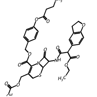 CCCC(=O)Oc1ccc(COC(=O)C2=C(COC(C)=O)CSC3C(NC(=O)C(C(=O)OCC)c4ccc5c(c4)CCO5)C(=O)N23)cc1